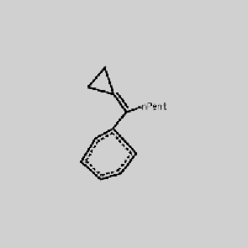 CCCCCC(=C1CC1)c1ccccc1